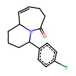 O=C1CCC=CC2CCCC(c3ccc(F)cc3)N12